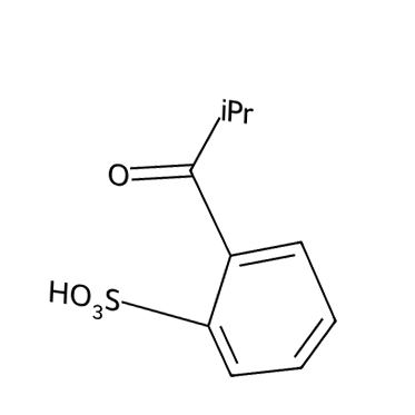 CC(C)C(=O)c1ccccc1S(=O)(=O)O